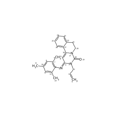 C=CCn1c(=Nc2c(C)cc(C)cc2C)cc2n(c1=O)CCc1ccccc1-2